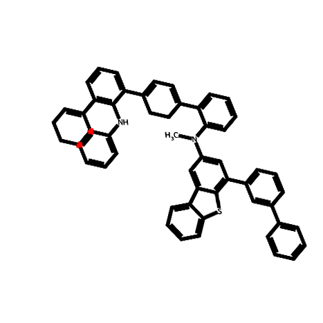 CN(c1cc(-c2cccc(-c3ccccc3)c2)c2sc3ccccc3c2c1)c1ccccc1C1=CC=C(c2cccc(C3=CCCCC3)c2Nc2ccccc2)CC1